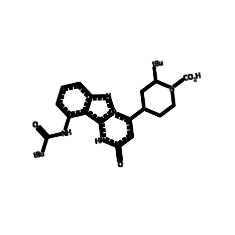 CC(C)(C)C(=O)Nc1cccc2nn3c(C4CCN(C(=O)O)C(C(C)(C)C)C4)cc(=O)[nH]c3c12